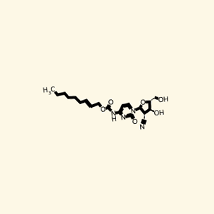 CCCCCC/C=C/COC(=O)Nc1ccn(C2O[C@H](CO)[C@@H](O)[C@@H]2C#N)c(=O)n1